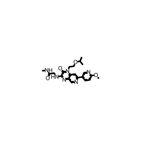 CNC(=O)CNc1nc2cnc(-c3ccc(OC)nc3)cc2n(CCOC(C)C)c1=O